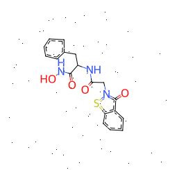 O=C(Cn1sc2ccccc2c1=O)NC(Cc1ccccc1)C(=O)NO